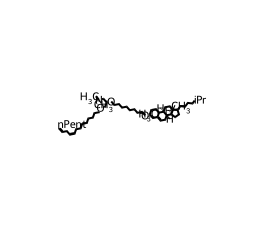 CCCCC/C=C\C/C=C\CCCCCCCCOCC(CN(C)C)OCCCCCCCCOC1CC[C@@]2(C)C(=CC[C@@H]3[C@@H]2CC[C@]2(C)C(CCCCC(C)C)CC[C@@H]32)C1